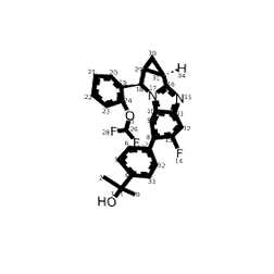 CC(C)(O)c1ccc(-c2cc3c(cc2F)nc2n3[C@@H](c3ccccc3OC(F)F)C3C[C@@H]23)cc1